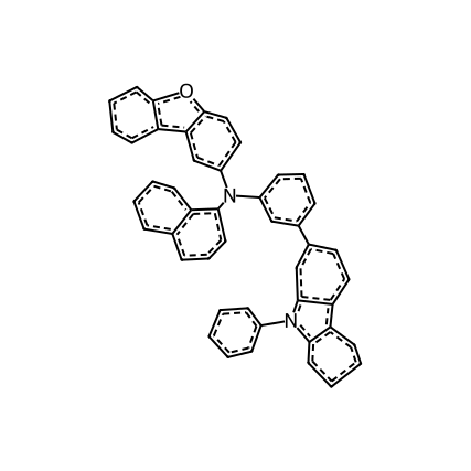 c1ccc(-n2c3ccccc3c3ccc(-c4cccc(N(c5ccc6oc7ccccc7c6c5)c5cccc6ccccc56)c4)cc32)cc1